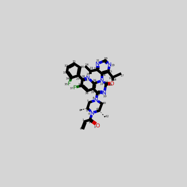 C=CC(=O)N1[C@H](C)CN(c2nc(=O)n(-c3c(C(C)C)ncnc3C(C)C)c3nc(-c4ccccc4F)c(F)cc23)C[C@@H]1C